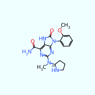 COc1ccccc1-n1c(=O)[nH]c2c(C(N)=O)nc(N(C)[C@H]3CCCN3)nc21